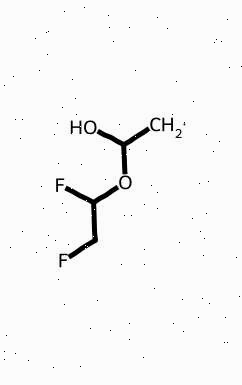 [CH2]C(O)OC(F)CF